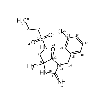 CCCS(=O)(=O)NCC1(C)NC(=N)N(Cc2cccc(Cl)c2)C1=O